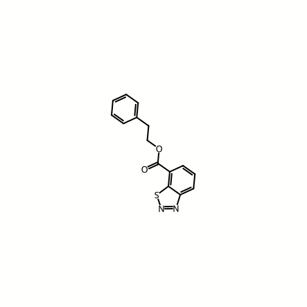 O=C(OCCc1ccccc1)c1cccc2nnsc12